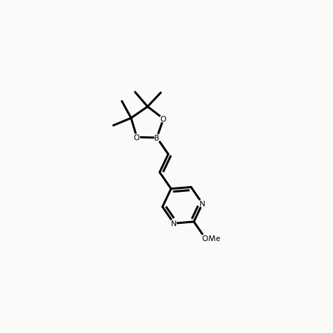 COc1ncc(C=CB2OC(C)(C)C(C)(C)O2)cn1